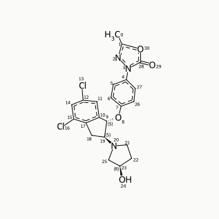 Cc1nn(-c2ccc(O[C@H]3c4cc(Cl)cc(Cl)c4C[C@@H]3N3CC[C@@H](O)C3)cc2)c(=O)o1